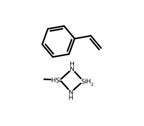 C=Cc1ccccc1.C[SiH]1N[SiH2]N1